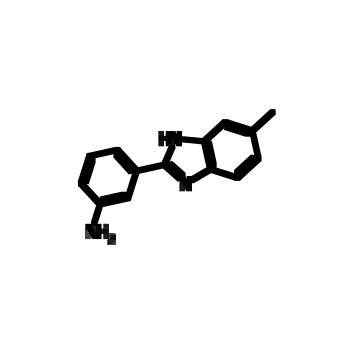 Cc1ccc2nc(-c3cccc(N)c3)[nH]c2c1